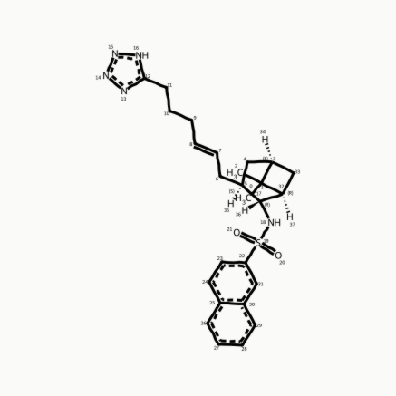 CC1(C)[C@H]2C[C@H](CC=CCCCc3nnn[nH]3)[C@@H](NS(=O)(=O)c3ccc4ccccc4c3)[C@@H]1C2